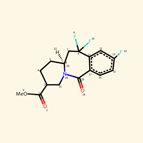 COC(=O)C1CC[C@H]2CC(F)(F)c3cc(F)ccc3C(=O)N2C1